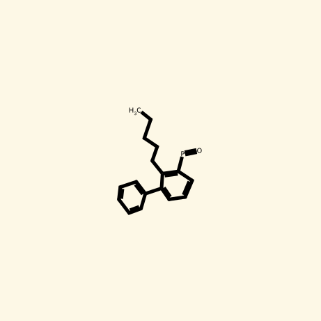 CCCCCc1c(P=O)cccc1-c1ccccc1